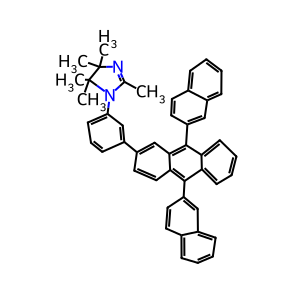 CC1=NC(C)(C)C(C)(C)N1c1cccc(-c2ccc3c(-c4ccc5ccccc5c4)c4ccccc4c(-c4ccc5ccccc5c4)c3c2)c1